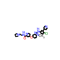 Cn1c(Nc2ccc(Cl)c(-c3ccncc3)c2)nc2cc(Oc3ccnc(C(=O)NCCN4CCCC4)c3)ccc21